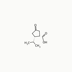 CC(C)[C@H]1CCC(=O)C1.O=CO